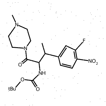 CC(c1ccc([N+](=O)[O-])c(F)c1)C(NC(=O)OC(C)(C)C)C(=O)N1CCN(C)CC1